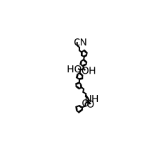 N#CCCCc1cccc(-c2ccc(C(O)C(O)c3ccc(-c4cccc(CCCCNC(=O)OCc5ccccc5)c4)cc3)cc2)c1